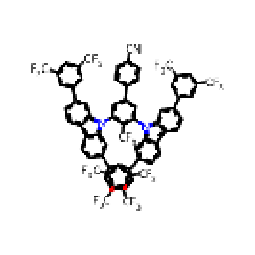 N#Cc1ccc(-c2cc(-n3c4cc(-c5cc(C(F)(F)F)cc(C(F)(F)F)c5)ccc4c4ccc(-c5cc(C(F)(F)F)cc(C(F)(F)F)c5)cc43)c(C(F)(F)F)c(-n3c4cc(-c5cc(C(F)(F)F)cc(C(F)(F)F)c5)ccc4c4ccc(-c5cc(C(F)(F)F)cc(C(F)(F)F)c5)cc43)c2)cc1